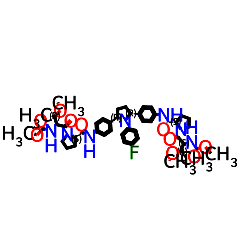 COC(=O)NC(C(=O)N1CCC[C@H]1C(=O)Nc1ccc([C@H]2CC[C@H](c3ccc(NC(=O)[C@@H]4CCCN4C(=O)[C@@H](NC(=O)OC)[C@@H](C)OC)cc3)N2c2ccc(F)cc2)cc1)[C@@H](C)OC